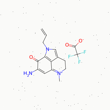 C=CCn1cc2c3c1C(=O)C(N)=CC3=[N+](C)CC2.O=C([O-])C(F)(F)F